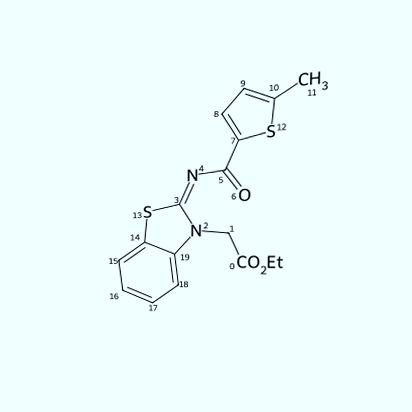 CCOC(=O)Cn1c(=NC(=O)c2ccc(C)s2)sc2ccccc21